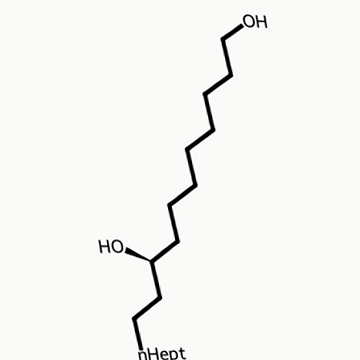 CCCCCCCCC[C@@H](O)CCCCCCCCO